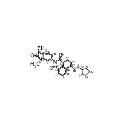 Cn1c(=O)n(C)c2cc(N3C(=O)c4cccc5c(CCC6CCCC6)ccc(c45)C3=O)ccc21